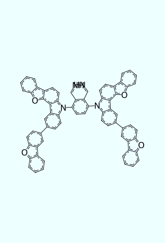 N=Cc1c(-n2c3ccc(-c4ccc5oc6ccccc6c5c4)cc3c3c4oc5ccccc5c4ccc32)ccc(-n2c3ccc(-c4ccc5oc6ccccc6c5c4)cc3c3c4oc5ccccc5c4ccc32)c1C=N